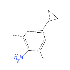 Cc1cc(C2CC2)cc(C)c1N